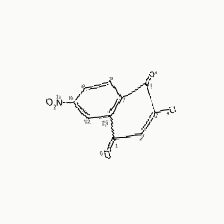 O=C1C=C(Cl)C(=O)c2ccc([N+](=O)[O-])cc21